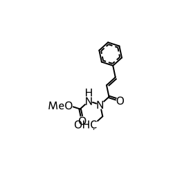 COC(=O)NN(C[C]=O)C(=O)C=Cc1ccccc1